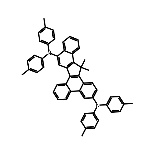 Cc1ccc(N(c2ccc(C)cc2)c2ccc3c4c(c5ccccc5c3c2)-c2cc(N(c3ccc(C)cc3)c3ccc(C)cc3)c3ccccc3c2C4(C)C)cc1